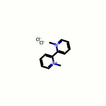 C[n+]1ccccc1-c1cccc[n+]1C.[Cl-].[Cl-]